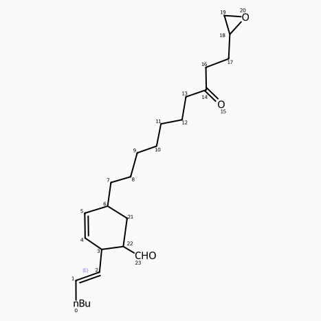 CCCC/C=C/C1C=CC(CCCCCCCC(=O)CCC2CO2)CC1C=O